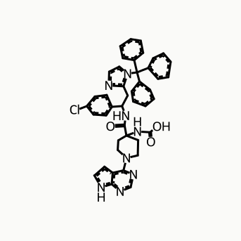 O=C(O)NC1(C(=O)NC(Cc2nccn2C(c2ccccc2)(c2ccccc2)c2ccccc2)c2ccc(Cl)cc2)CCN(c2ncnc3[nH]ccc23)CC1